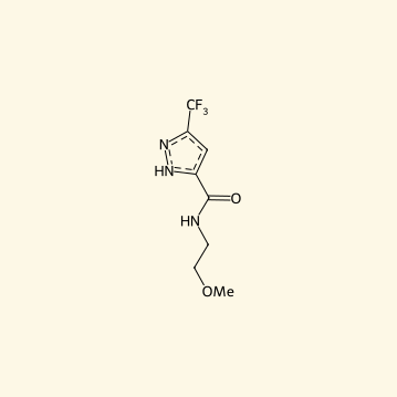 COCCNC(=O)c1cc(C(F)(F)F)n[nH]1